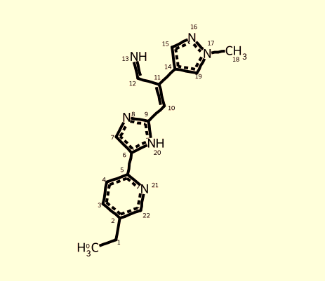 CCc1ccc(-c2cnc(/C=C(\C=N)c3cnn(C)c3)[nH]2)nc1